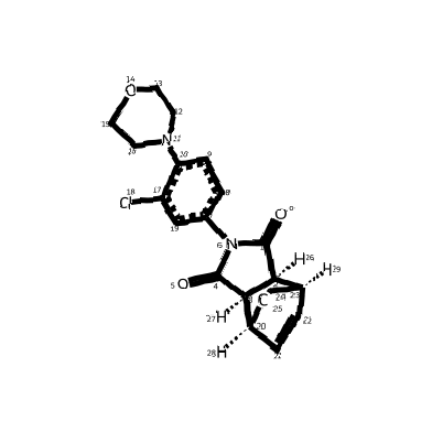 O=C1[C@@H]2[C@H](C(=O)N1c1ccc(N3CCOCC3)c(Cl)c1)[C@@H]1C=C[C@H]2CC1